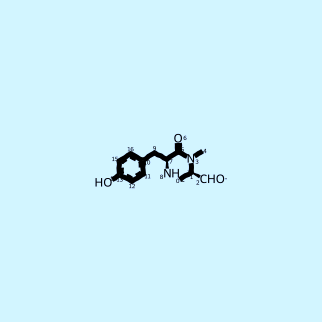 C[C@H]([C]=O)N(C)C(=O)[C@@H](N)Cc1ccc(O)cc1